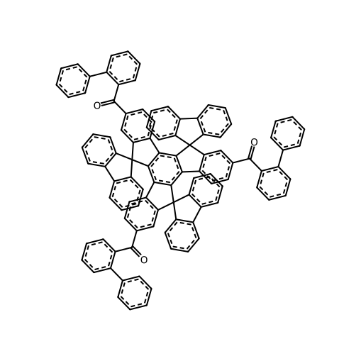 O=C(c1ccc2c(c1)C1(c3ccccc3-c3ccccc31)c1c-2c2c(c3c1-c1ccc(C(=O)c4ccccc4-c4ccccc4)cc1C31c3ccccc3-c3ccccc31)-c1ccc(C(=O)c3ccccc3-c3ccccc3)cc1C21c2ccccc2-c2ccccc21)c1ccccc1-c1ccccc1